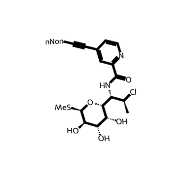 CCCCCCCCCC#Cc1ccnc(C(=O)N[C@@H]([C@H]2O[C@H](SC)[C@H](O)[C@@H](O)[C@H]2O)[C@H](C)Cl)c1